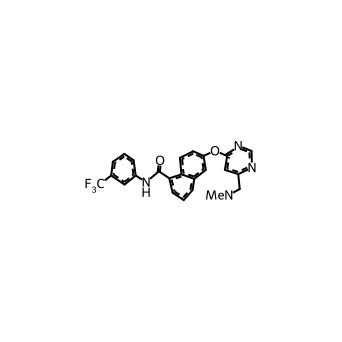 CNCc1cc(Oc2ccc3c(C(=O)Nc4cccc(C(F)(F)F)c4)cccc3c2)ncn1